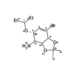 CCC(CC)O[C@@H]1C=C(Br)C2OC(C)(C)OC2C1N